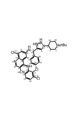 CC(C)(C)N1CCC(N2C=C([C@@H](Nc3cc(Cl)c4ncc(C#N)c(Nc5cccc(Cl)c5Cl)c4c3)c3ccccc3)NN2)CC1